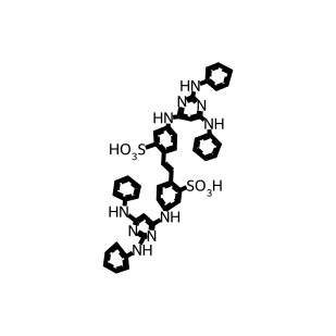 O=S(=O)(O)c1cc(Nc2cc(Nc3ccccc3)nc(Nc3ccccc3)n2)ccc1C=Cc1ccc(Nc2cc(Nc3ccccc3)nc(Nc3ccccc3)n2)cc1S(=O)(=O)O